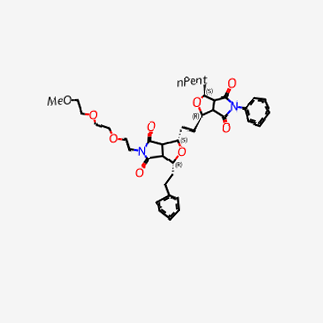 CCCCC[C@@H]1O[C@H](CC[C@@H]2O[C@H](CCc3ccccc3)C3C(=O)N(CCOCCOCCOC)C(=O)C32)C2C(=O)N(c3ccccc3)C(=O)C21